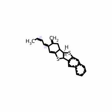 C=C1CC2C(=C/C1=C/C=C\C)SC1c3cc4ccccc4cc3S[C@H]21